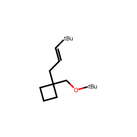 CC(C)(C)/C=C/CC1(COC(C)(C)C)CCC1